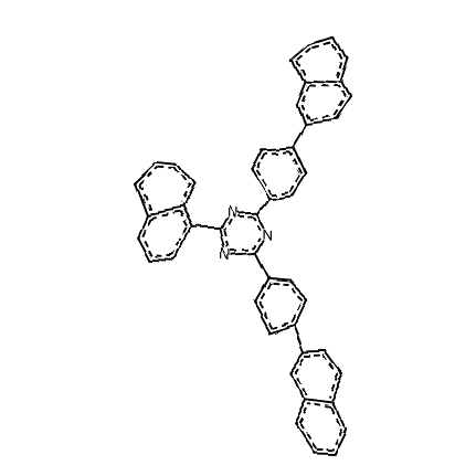 c1ccc2cc(-c3ccc(-c4nc(-c5ccc(-c6ccc7ccccc7c6)cc5)nc(-c5cccc6ccccc56)n4)cc3)ccc2c1